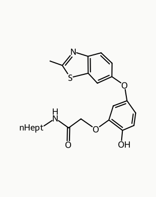 CCCCCCCNC(=O)COc1cc(Oc2ccc3nc(C)sc3c2)ccc1O